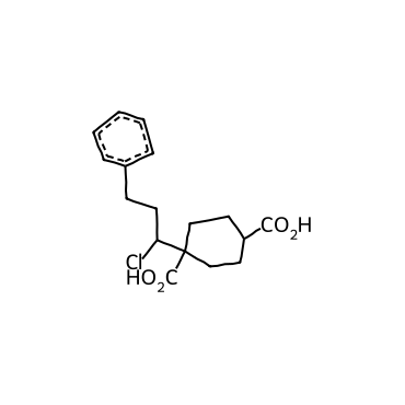 O=C(O)C1CCC(C(=O)O)(C(Cl)CCc2ccccc2)CC1